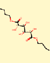 CCCCOC(=O)[C@@H](O)[C@@H](O)[C@H](O)[C@@H](O)C(=O)OCCCC